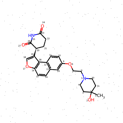 CC1(O)CCN(CCOc2ccc3c(ccc4occ([C@@H]5CCC(=O)NC5=O)c43)c2)CC1